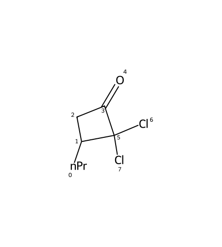 CCCC1CC(=O)C1(Cl)Cl